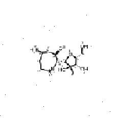 CC1(O)[C@@H](O)[C@@H](CO)O[C@H]1N1/N=N\CC/C(N)=N\C1=O